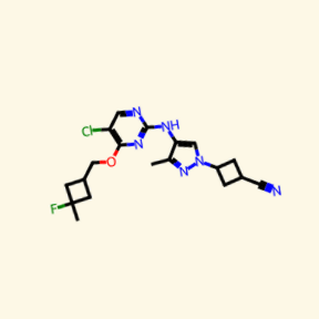 Cc1nn(C2CC(C#N)C2)cc1Nc1ncc(Cl)c(OCC2CC(C)(F)C2)n1